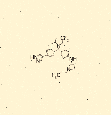 C[C@@H]1Cc2cc(-c3cn[nH]c3)ccc2[C@@H](c2ccc(N[C@H]3CCN(CCC(F)(F)F)C3)cc2)N1CC(F)(F)F